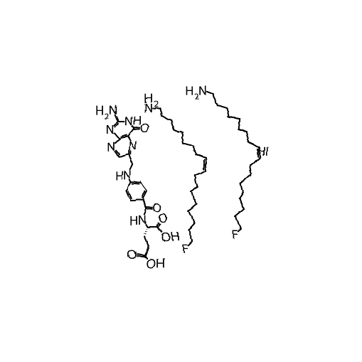 I.NCCCCCCCC/C=C\CCCCCCCCF.NCCCCCCCC/C=C\CCCCCCCCF.Nc1nc2ncc(CNc3ccc(C(=O)N[C@@H](CCC(=O)O)C(=O)O)cc3)nc2c(=O)[nH]1